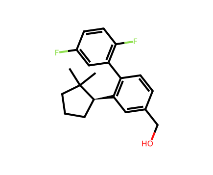 CC1(C)CCC[C@@H]1c1cc(CO)ccc1-c1cc(F)ccc1F